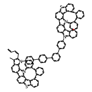 C=C/C=C\c1c(C)c2ccc3c4ccc5sc6cccc7c8ccccc8c8ccccc8n(c4c5c67)c3c2n1-c1ccc(-c2ccc(-c3cccc(-c4ccc(-n5c6ccccc6c6c5ccc5c7ccc8sc9cccc%10c%11ccccc%11c%11ccccc%11n(c7c8c9%10)c56)cc4)c3)cc2)cc1